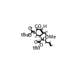 C=CCON(C(=O)OC(C)(C)C)[C@H]1CN(C(=O)OC(C)(C)C)[C@H](C(=O)O)C=C1COC